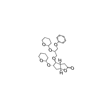 O=C1C[C@H]2[C@H](OCC(COc3ccccc3)OC3CCCCO3)[C@@H](OC3CCCCO3)C[C@H]2O1